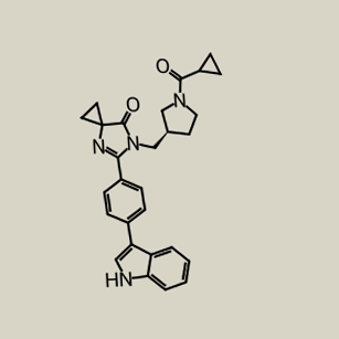 O=C(C1CC1)N1CC[C@@H](CN2C(=O)C3(CC3)N=C2c2ccc(-c3c[nH]c4ccccc34)cc2)C1